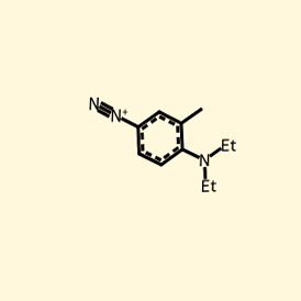 CCN(CC)c1ccc([N+]#N)cc1C